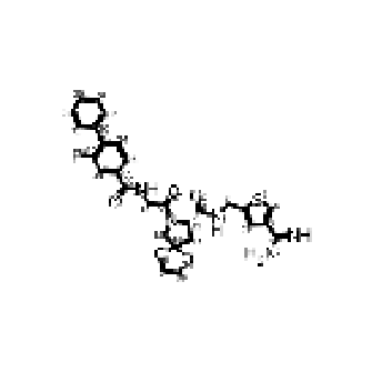 N=C(N)c1csc(CNC(=O)[C@@H]2CC3(CN2C(=O)CNC(=O)c2ccc(-c4ccccc4)c(F)c2)OCCO3)c1